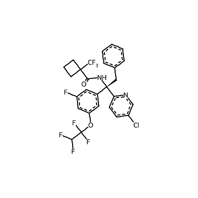 O=C(N[C@@](Cc1ccccc1)(c1cc(F)cc(OC(F)(F)C(F)F)c1)c1ccc(Cl)cn1)C1(C(F)(F)F)CCC1